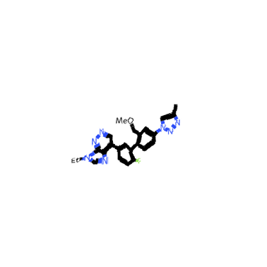 CCn1cnc2c(-c3ccc(F)c(-c4ccc(-n5cc(C)nn5)cc4COC)c3)cnnc21